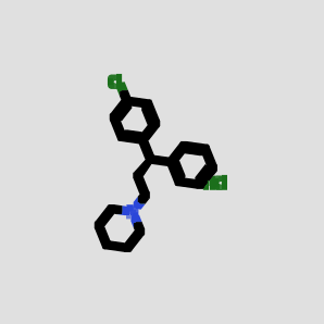 Cl.Clc1ccc([C@H](CCN2CCCCC2)c2ccccc2)cc1